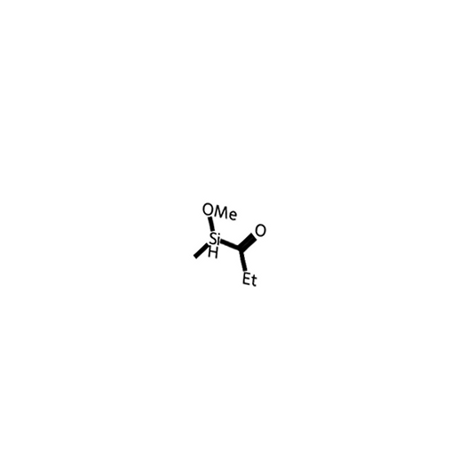 CCC(=O)[SiH](C)OC